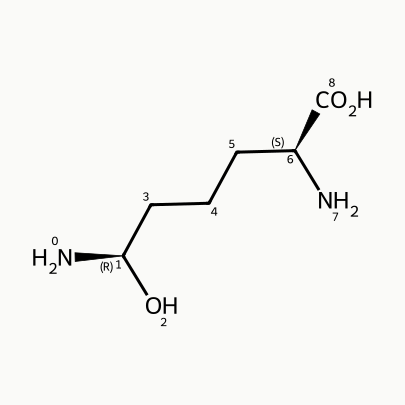 N[C@H](O)CCC[C@H](N)C(=O)O